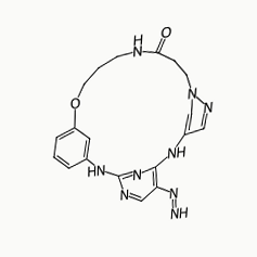 N=Nc1cnc2nc1Nc1cnn(c1)CCC(=O)NCCCOc1cccc(c1)N2